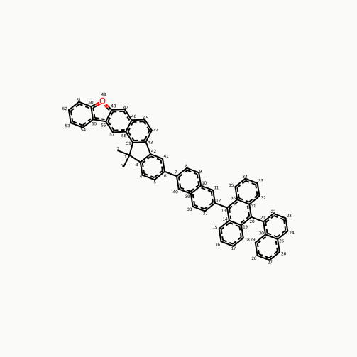 CC1(C)c2ccc(-c3ccc4cc(-c5c6ccccc6c(-c6cccc7ccccc67)c6ccccc56)ccc4c3)cc2-c2ccc3cc4oc5ccccc5c4cc3c21